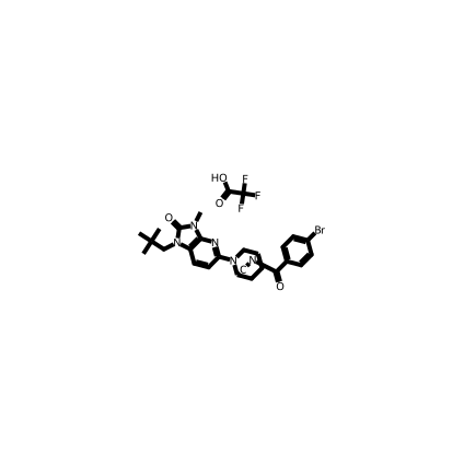 Cn1c(=O)n(CC(C)(C)C)c2ccc(N3CC4CCC3CN4C(=O)c3ccc(Br)cc3)nc21.O=C(O)C(F)(F)F